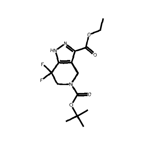 CCOC(=O)c1n[nH]c2c1CN(C(=O)OC(C)(C)C)CC2(F)F